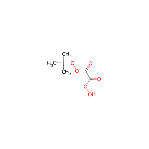 CC(C)(C)OOC(=O)C(=O)OO